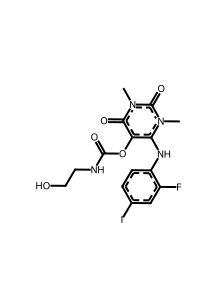 Cn1c(Nc2ccc(I)cc2F)c(OC(=O)NCCO)c(=O)n(C)c1=O